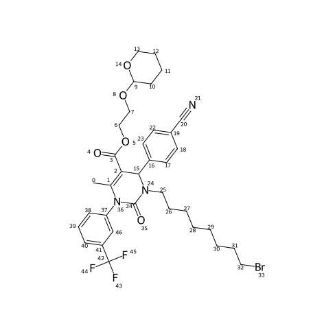 CC1=C(C(=O)OCCOC2CCCCO2)C(c2ccc(C#N)cc2)N(CCCCCCCCBr)C(=O)N1c1cccc(C(F)(F)F)c1